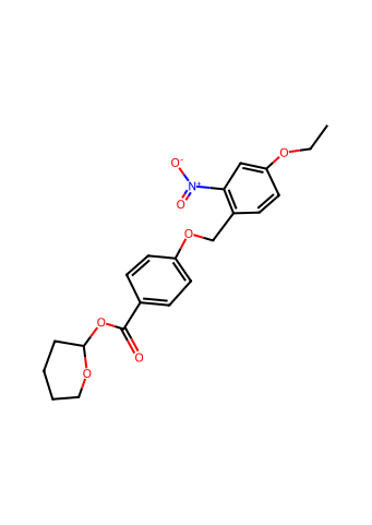 CCOc1ccc(COc2ccc(C(=O)OC3CCCCO3)cc2)c([N+](=O)[O-])c1